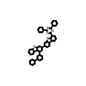 c1ccc(-c2cccc(-c3cc(-c4ccc5c(c4)sc4c(-c6nc(-c7ccccc7)nc(-c7ccccc7)n6)cccc45)cc4sc5ccccc5c34)c2)cc1